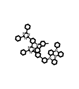 Cc1ccc2c(c1)c1ccccc1n2-c1ccc(-c2nc(-c3ccccc3)nc(-c3ccccc3)n2)cc1-c1nc(-c2ccccc2)nc(-c2ccc(-c3cccc(N4c5ccccc5B5c6ccccc6N(c6ccccc6)c6cccc4c65)c3)cc2)n1